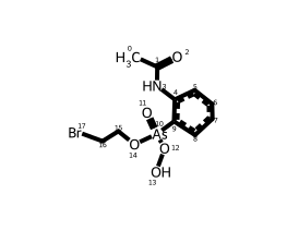 CC(=O)Nc1ccccc1[As](=O)(OO)OCCBr